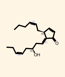 CC/C=C\C[C@H](O)C/C=C1/C(=O)C=C[C@@H]1C/C=C\CCC